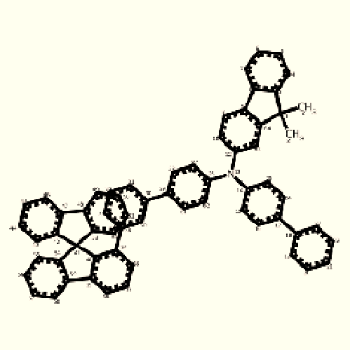 CC1(C)c2ccccc2-c2ccc(N(c3ccc(-c4ccccc4)cc3)c3ccc(-c4cccc(-c5cccc6c5C5(c7ccccc7-c7ccccc75)c5ccccc5-6)c4)cc3)cc21